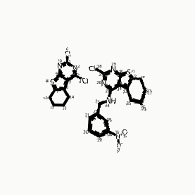 Clc1nc(Cl)c2c3c(sc2n1)CCCC3.O=[N+]([O-])c1cccc(CNc2nc(Cl)nc3sc4c(c23)CCCC4)c1